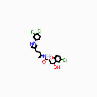 C=C(CCc1cnn(-c2ccc(Cl)c(F)c2)c1)NC(=O)[C@@H]1C[C@@H](O)c2cc(Cl)ccc2O1